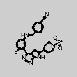 CS(=O)(=O)N1CC=C(c2cc3c(-c4cc(NCc5ccc(C#N)cc5)ccc4F)ncnc3[nH]2)CC1